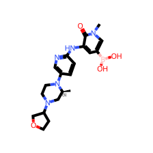 C[C@H]1CN(C2CCOC2)CCN1c1ccc(Nc2cc(B(O)O)cn(C)c2=O)nc1